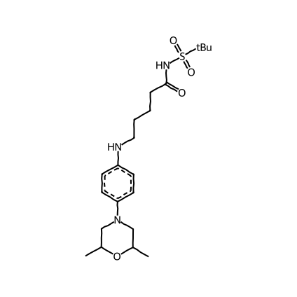 CC1CN(c2ccc(NCCCCC(=O)NS(=O)(=O)C(C)(C)C)cc2)CC(C)O1